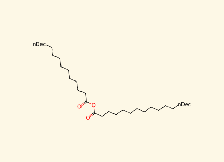 CCCCCCCCCCCCCCCCCCCCCC(=O)OC(=O)CCCCCCCCCCCCCCCCCCC